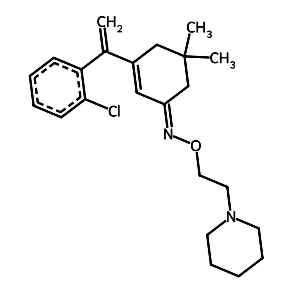 C=C(C1=C/C(=N/OCCN2CCCCC2)CC(C)(C)C1)c1ccccc1Cl